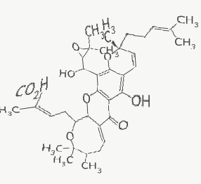 CC(C)=CCC[C@]1(C)C=Cc2c(O)c3c(c(C(O)C4OC4(C)C)c2O1)OC1/C(=C\CC(C)C(C)(C)OC1C/C=C(/C)C(=O)O)C3=O